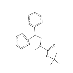 CN(CC(c1ccccc1)c1ccccc1)C(=O)OC(C)(C)C